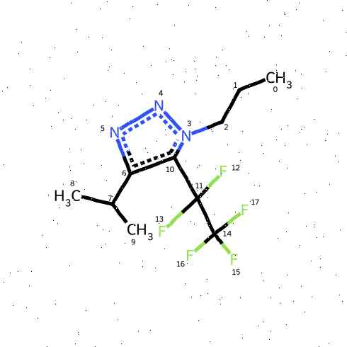 CCCn1nnc(C(C)C)c1C(F)(F)C(F)(F)F